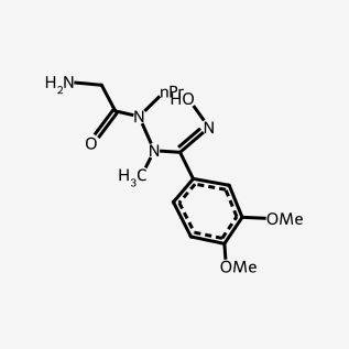 CCCN(C(=O)CN)N(C)/C(=N\O)c1ccc(OC)c(OC)c1